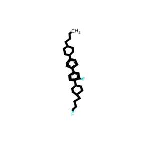 CCCCC1CCC(c2ccc(-c3ccc(C4CCC(CCCCF)CC4)c(F)c3)cc2)CC1